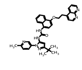 Cc1ccc(-n2nc(C(C)(C)C)cc2NC(=O)Nc2ccc(OCCc3ccnc4ncccc34)c3ccccc23)cn1